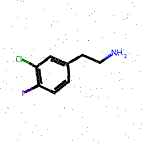 NCCc1ccc(I)c(Cl)c1